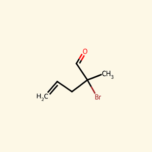 C=CCC(C)(Br)C=O